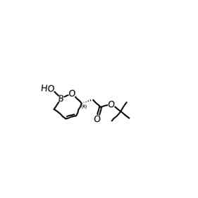 CC(C)(C)OC(=O)C[C@@H]1C=CCB(O)O1